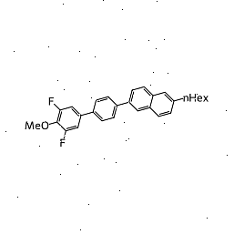 CCCCCCc1ccc2cc(-c3ccc(-c4cc(F)c(OC)c(F)c4)cc3)ccc2c1